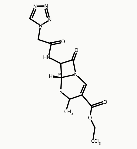 CC1S[C@@H]2C(NC(=O)Cn3cnnn3)C(=O)N2C=C1C(=O)OCC(Cl)(Cl)Cl